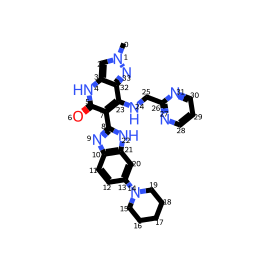 Cn1cc2[nH]c(=O)c(-c3nc4ccc(N5CCCCC5)cc4[nH]3)c(NCc3ncccn3)c2n1